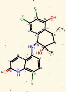 C[C@@H]1C[C@@](O)(C(F)(F)F)[C@@H](Nc2ccc(F)c3[nH]c(=O)ccc23)c2cc(Cl)c(F)c(O)c21